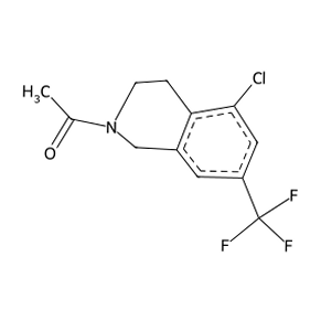 CC(=O)N1CCc2c(Cl)cc(C(F)(F)F)cc2C1